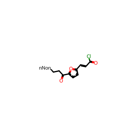 CCCCCCCCCCCC(=O)c1ccc(C=CC(=O)Cl)o1